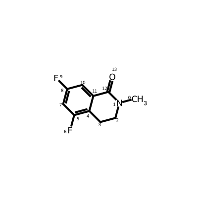 CN1CCc2c(F)cc(F)cc2C1=O